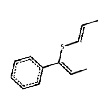 CC=CSC(=CC)c1ccccc1